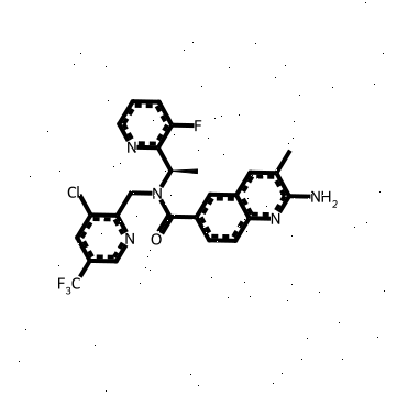 Cc1cc2cc(C(=O)N(Cc3ncc(C(F)(F)F)cc3Cl)[C@H](C)c3ncccc3F)ccc2nc1N